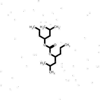 CCCC(CC(C)C)OC(=O)OC(CCC)CC(C)C